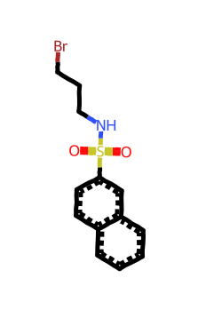 O=S(=O)(NCCCBr)c1ccc2ccccc2c1